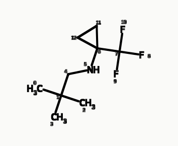 CC(C)(C)CNC1(C(F)(F)F)CC1